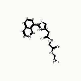 CCOC(=O)CNC(=O)Cc1csc(-c2cccc3ccncc23)n1